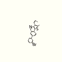 C/C=C\c1c(C)sc2c1ncc1cc(-c3cccc(Br)c3)ccc12